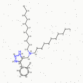 CCCCCCCCCCCN(CCCCCCCCCCC)Cc1[nH]nnc1-c1ccccc1C